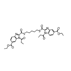 CCOC(=O)c1ccc2c(c1)nc(C(=O)SCCCCCSC(=O)c1nc3ccc(C(=O)OCC)cc3n1C(=O)CC)n2C(=O)CC